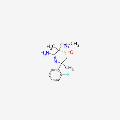 CN=S1(=O)CC(C)(c2ccccc2F)N=C(N)C1(C)C